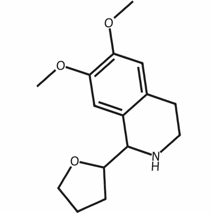 COc1cc2c(cc1OC)C(C1CCCO1)NCC2